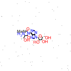 CNC(=O)N(C(=O)[C@@H](N)[C@@H](C)O)c1ncnc2c1ncn2[C@@H]1O[C@H](CO)[C@@H](O)[C@H]1O